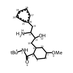 COC1CCC(C(=O)NC(C)(C)C)C(CC(O)C(N)Cc2ccccc2)C1